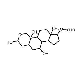 C[C@]12CO[C@H](O)CC1C[C@H](O)C1C2CC[C@@]2(C)C1CC[C@@H]2OC=O